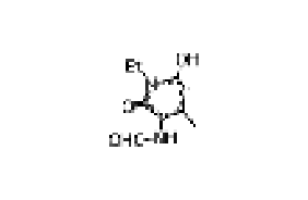 CCn1c(O)[c]c(C)c(NC=O)c1=O